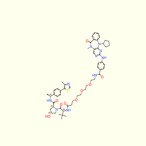 Cc1ncsc1-c1ccc([C@H](C)NC(=O)[C@@H]2C[C@@H](O)CN2C(=O)[C@@H](NC(=O)CCOCCOCCOCCNC(=O)c2ccc(Nc3ncc4c(n3)N(C3CCCC3)c3ccccc3C(=O)N4C)cc2)C(C)(C)C)cc1